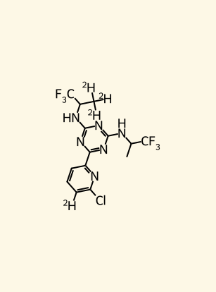 [2H]c1ccc(-c2nc(NC(C)C(F)(F)F)nc(NC(C([2H])([2H])[2H])C(F)(F)F)n2)nc1Cl